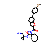 CSc1ccc(-c2ccc3cc(C(=O)NC4(C(=O)NC5(C=N)CC5)CCCCCC4)oc3c2)cc1